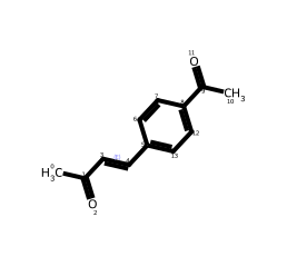 CC(=O)/C=C/c1ccc(C(C)=O)cc1